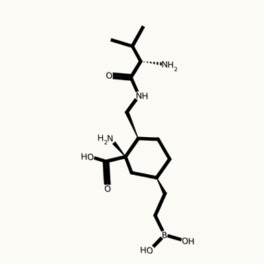 CC(C)[C@H](N)C(=O)NC[C@H]1CC[C@@H](CCB(O)O)C[C@]1(N)C(=O)O